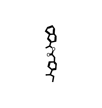 CCC(C)c1ccc(CC(=O)OC(C)c2ccc3ccccc3c2)cc1